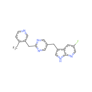 Fc1cnc2[nH]cc(Cc3cnc([CH]c4cnccc4C(F)(F)F)nc3)c2c1